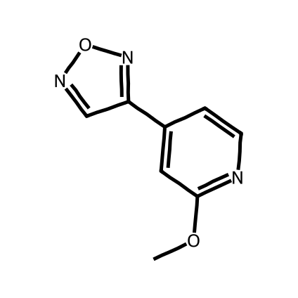 COc1cc(-c2cnon2)ccn1